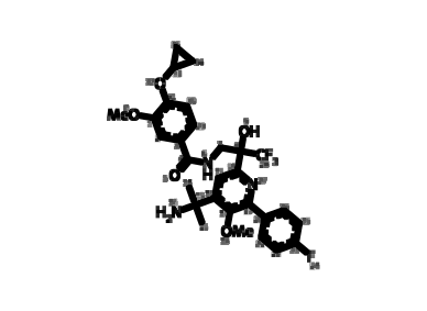 COc1cc(C(=O)NCC(O)(c2cc(C(C)(C)N)c(OC)c(-c3ccc(F)cc3)n2)C(F)(F)F)ccc1OC1CC1